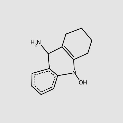 NC1C2=C(CCCC2)N(O)c2ccccc21